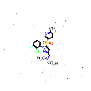 Cc1ccc(S(=O)(=O)c2cc(CN(C)C(=O)O)nn2-c2cccc(F)c2Cl)cn1